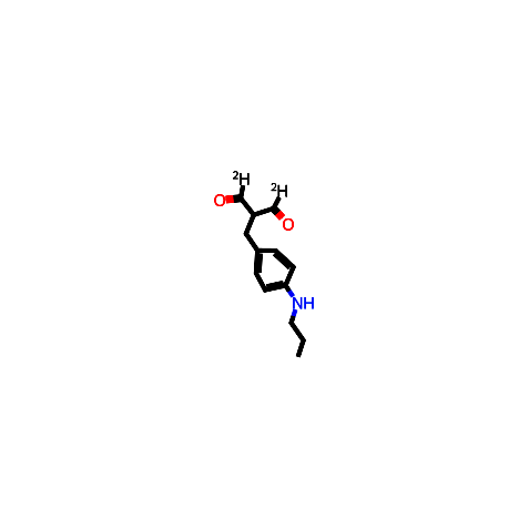 [2H]C(=O)C(Cc1ccc(NCCC)cc1)C([2H])=O